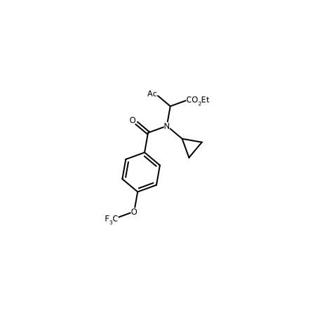 CCOC(=O)C(C(C)=O)N(C(=O)c1ccc(OC(F)(F)F)cc1)C1CC1